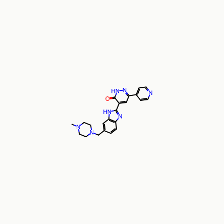 CN1CCN(Cc2ccc3nc(-c4cc(-c5ccncc5)n[nH]c4=O)[nH]c3c2)CC1